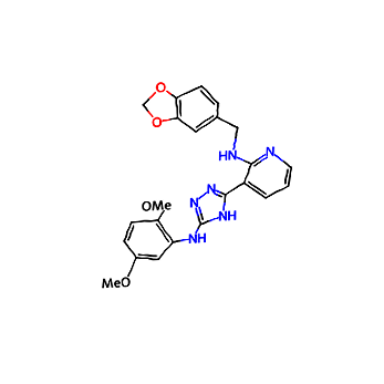 COc1ccc(OC)c(Nc2nnc(-c3cccnc3NCc3ccc4c(c3)OCO4)[nH]2)c1